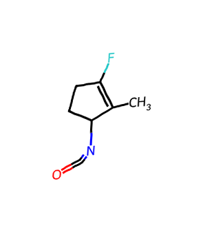 CC1=C(F)CCC1N=C=O